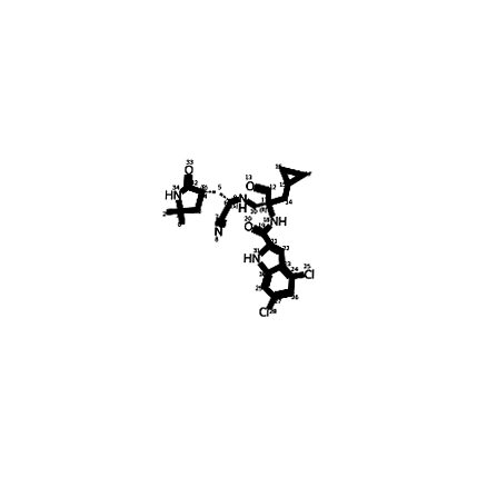 CC1(C)C[C@@H](C[C@@H](C#N)NC[C@@](C=O)(CC2CC2)NC(=O)c2cc3c(Cl)cc(Cl)cc3[nH]2)C(=O)N1